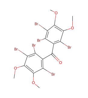 COc1c(Br)c(Br)c(C(=O)c2c(Br)c(Br)c(OC)c(OC)c2Br)c(Br)c1OC